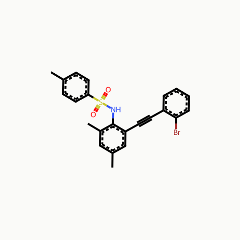 Cc1ccc(S(=O)(=O)Nc2c(C)cc(C)cc2C#Cc2ccccc2Br)cc1